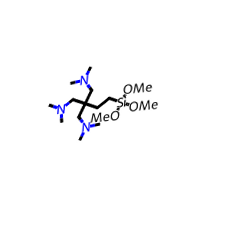 CO[Si](CCC(CN(C)C)(CN(C)C)CN(C)C)(OC)OC